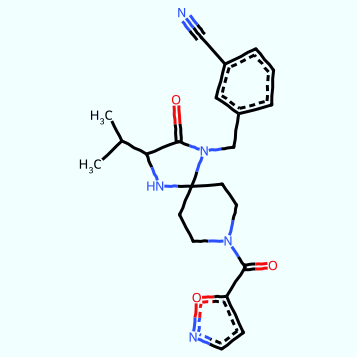 CC(C)C1NC2(CCN(C(=O)c3ccno3)CC2)N(Cc2cccc(C#N)c2)C1=O